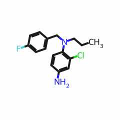 CCCN(Cc1ccc(F)cc1)c1ccc(N)cc1Cl